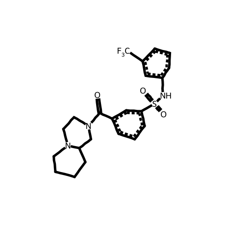 O=C(c1cccc(S(=O)(=O)Nc2cccc(C(F)(F)F)c2)c1)N1CCN2CCCCC2C1